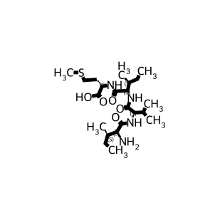 CC[C@H](C)[C@H](N)C(=O)N[C@H](C(=O)N[C@H](C(=O)N[C@@H](CCSC)C(=O)O)[C@@H](C)CC)C(C)C